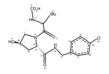 CC(C)(C)C(NC(=O)O)C(=O)N1C[C@H](O)C[C@H]1C(=O)NCc1ccc(Cl)cc1